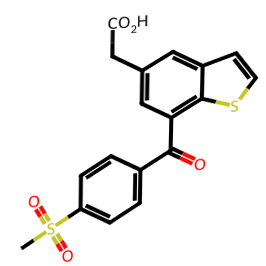 CS(=O)(=O)c1ccc(C(=O)c2cc(CC(=O)O)cc3ccsc23)cc1